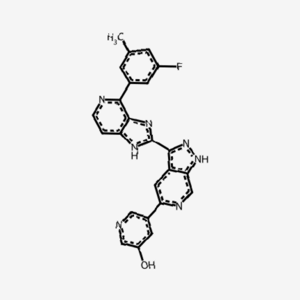 Cc1cc(F)cc(-c2nccc3[nH]c(-c4n[nH]c5cnc(-c6cncc(O)c6)cc45)nc23)c1